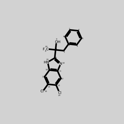 OC(Cc1ccccc1)(c1nc2cc(Cl)c(Cl)cc2[nH]1)C(F)(F)F